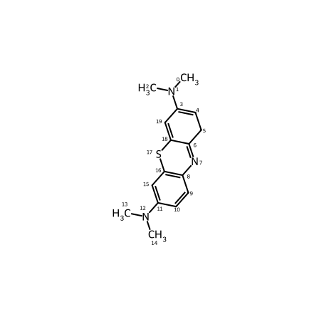 CN(C)C1=CCC2=Nc3ccc(N(C)C)cc3SC2=C1